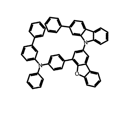 c1ccc(-c2cccc(N(c3ccccc3)c3ccc(-c4cc(-n5c6ccccc6c6ccc(-c7ccccc7)cc65)cc5c4oc4ccccc45)cc3)c2)cc1